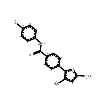 Cc1cc(C(=O)O)oc1-c1ccc(C(=O)Nc2ccc(Br)cc2)cc1